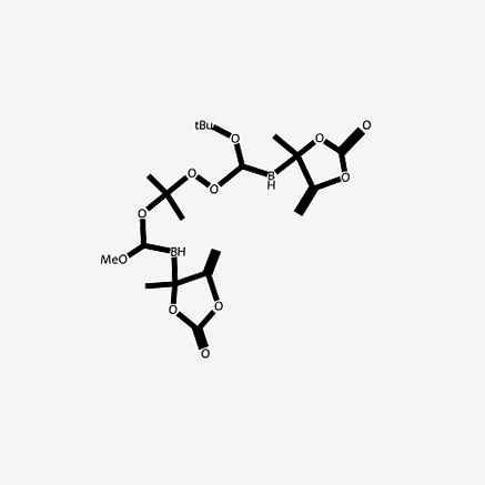 C=C1OC(=O)OC1(C)BC(OOC(C)(C)OC(BC1(C)OC(=O)OC1=C)OC)OC(C)(C)C